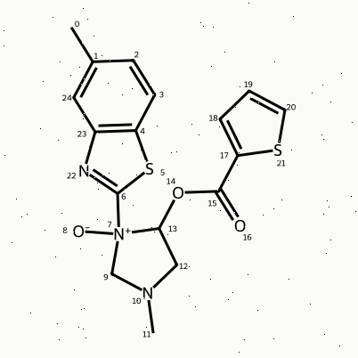 Cc1ccc2sc([N+]3([O-])CN(C)CC3OC(=O)c3cccs3)nc2c1